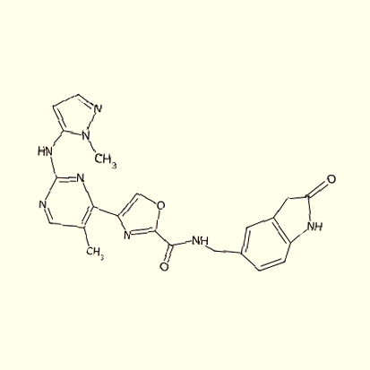 Cc1cnc(Nc2ccnn2C)nc1-c1coc(C(=O)NCc2ccc3c(c2)CC(=O)N3)n1